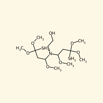 COC(CC([SiH3])(OC)OC)N(CCO)C(CC([SiH3])(OC)OC)OC